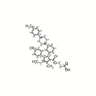 CCn1c(C)c(C(=O)OCCC(=O)O)c(-c2cccc(N3CCN(c4ccc(C)cc4)CC3)c2)c1-c1ccc(Cl)cc1